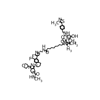 CNC(=O)N1CCc2c(c(N3CCCc4cc(-c5cnn(CCNC(=O)CCCCCCCCC(=O)N[C@H](C(=O)N6C[C@H](O)C[C@H]6C(=O)NCc6ccc(-c7scnc7C)cc6)C(C)(C)C)c5)c(C(F)F)cc43)nn2C2CCOCC2)C1